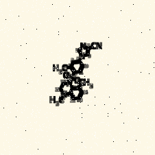 Cc1cc(-n2cnc(C#N)c2)ccc1S(=O)(=O)N1CCN(C)c2cccc(C)c21